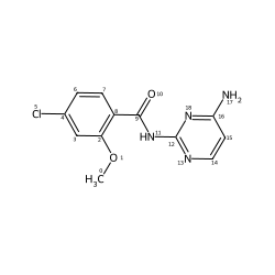 COc1cc(Cl)ccc1C(=O)Nc1nccc(N)n1